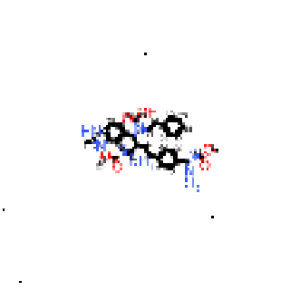 COC(=O)N=C(N)c1ccc(CCC(C(N)=NC(=O)OC)C(c2ccc3[nH]c(C)nc3c2)N(CCc2ccccc2)C(=O)O)cc1